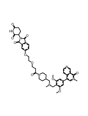 COc1cc(-c2cn(C)c(=O)c3cnccc23)cc(OC)c1CN(C)CC1CCN(C(=O)CCOCCOc2ccc3c(c2)C(=O)N(C2CCC(=O)NC2=O)C3=O)CC1